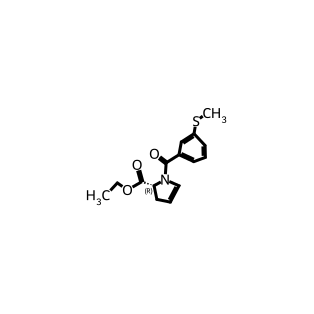 CCOC(=O)[C@H]1CC=CN1C(=O)c1cccc(SC)c1